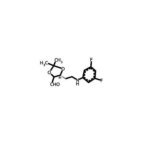 CC1(C)OC(C=O)[C@@H](CCNc2cc(F)cc(F)c2)O1